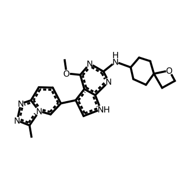 COc1nc(NC2CCC3(CCO3)CC2)nc2[nH]cc(-c3ccc4nnc(C)n4c3)c12